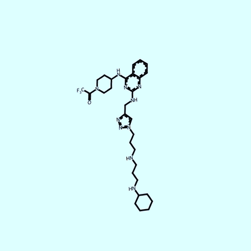 O=C(N1CCC(Nc2nc(NCc3cn(CCCNCCCNC4CCCCC4)nn3)nc3ccccc23)CC1)C(F)(F)F